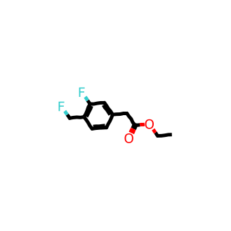 CCOC(=O)Cc1ccc(CF)c(F)c1